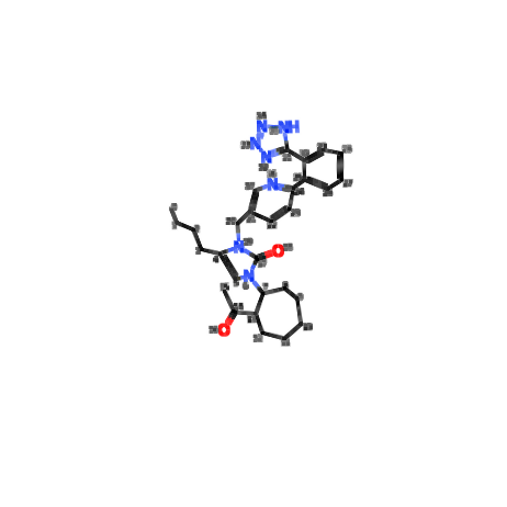 CCCCc1cn(C2CCCCCC2C(C)=O)c(=O)n1Cc1ccc(-c2ccccc2-c2nnn[nH]2)nc1